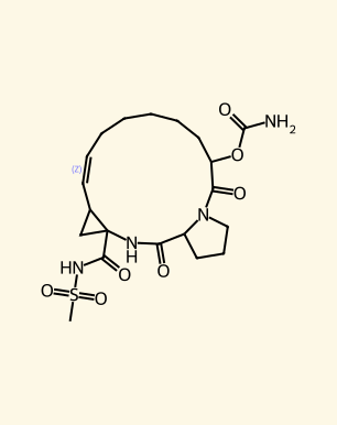 CS(=O)(=O)NC(=O)C12CC1/C=C\CCCCCC(OC(N)=O)C(=O)N1CCCC1C(=O)N2